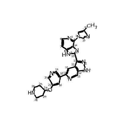 Cc1cn(-c2nccc3[nH]c(-c4n[nH]c5cnc(-c6cncc(OC7CCNCC7)c6)cc45)nc23)cn1